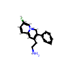 NCCC1=C(c2ccccc2)CN2C=C(F)C=CC2=C1